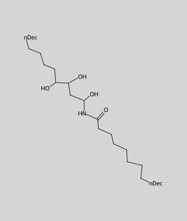 CCCCCCCCCCCCCCCCCC(=O)NC(O)CC(O)C(O)CCCCCCCCCCCCCC